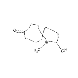 CN1C(O)CCC12CCC(=O)CC2